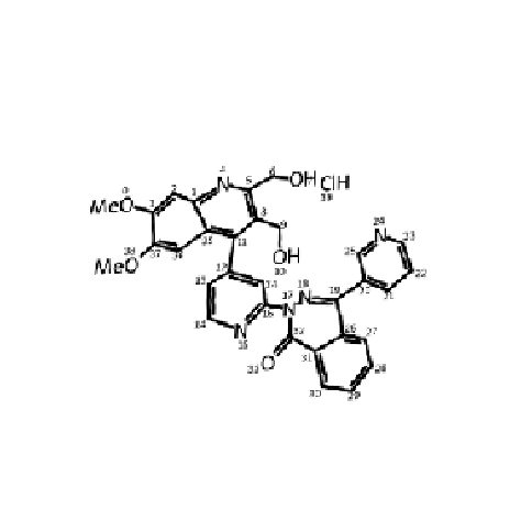 COc1cc2nc(CO)c(CO)c(-c3ccnc(-n4nc(-c5cccnc5)c5ccccc5c4=O)c3)c2cc1OC.Cl